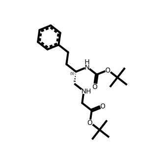 CC(C)(C)OC(=O)CNC[C@H](CCc1ccccc1)NC(=O)OC(C)(C)C